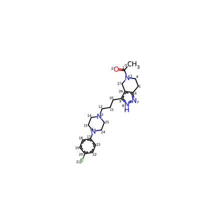 CC(=O)N1CCc2n[nH]c(CCCN3CCN(c4ccc(F)cc4)CC3)c2C1